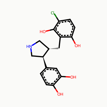 Oc1ccc([C@H]2CNC[C@@H]2Cc2c(O)ccc(Cl)c2O)cc1O